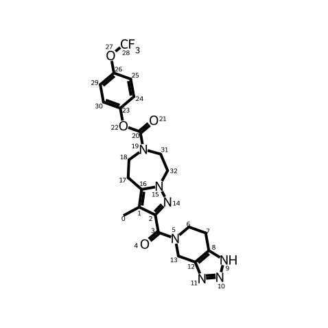 Cc1c(C(=O)N2CCc3[nH]nnc3C2)nn2c1CCN(C(=O)Oc1ccc(OC(F)(F)F)cc1)CC2